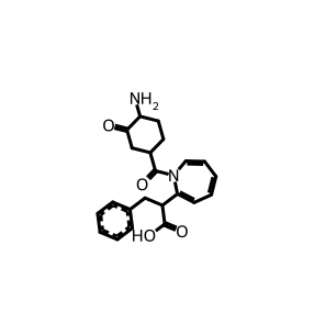 NC1CCC(C(=O)N2C=CC=CC=C2C(Cc2ccccc2)C(=O)O)CC1=O